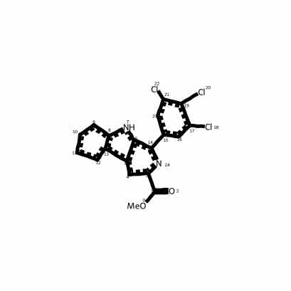 COC(=O)c1cc2c([nH]c3ccccc32)c(-c2cc(Cl)c(Cl)c(Cl)c2)n1